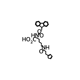 O=C(CCC1=CC=CC1)NCCCC[C@H](NC(=O)OCC1c2ccccc2-c2ccccc21)C(=O)O